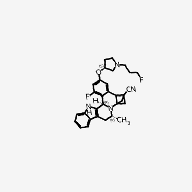 C[C@@H]1Cc2c([nH]c3ccccc23)[C@H]2c3c(F)cc(O[C@H]4CCN(CCCF)C4)cc3C3C4(C#N)CC3(C4)N21